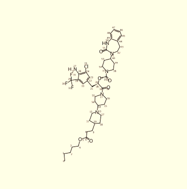 CCCCCOC(=O)CCC1CCN(C2CCN(C(=O)[C@@H](Cc3cc(Cl)c(N)c(C(F)(F)F)c3)OC(=O)N3CCC(N4CCc5ccccc5NC4=O)CC3)CC2)CC1